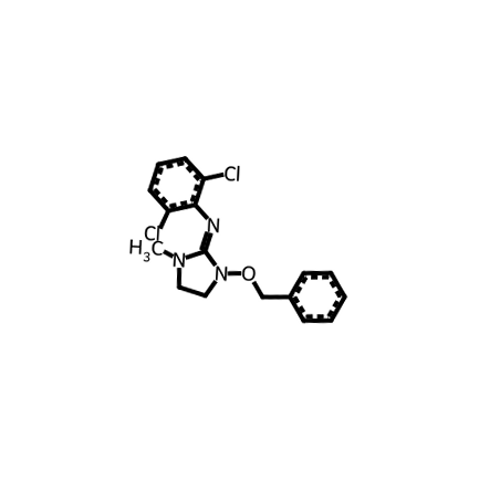 CN1CCN(OCc2ccccc2)/C1=N/c1c(Cl)cccc1Cl